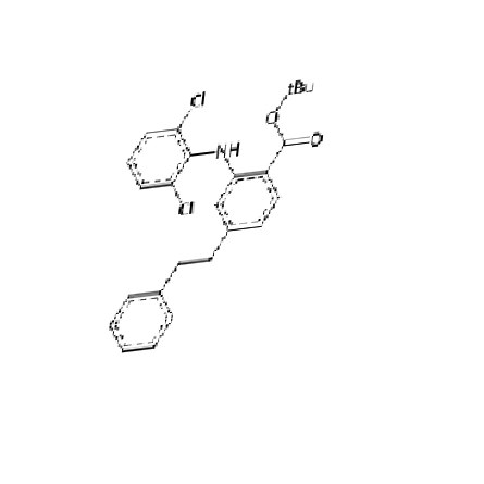 CC(C)(C)OC(=O)c1ccc(CCc2ccccc2)cc1Nc1c(Cl)cccc1Cl